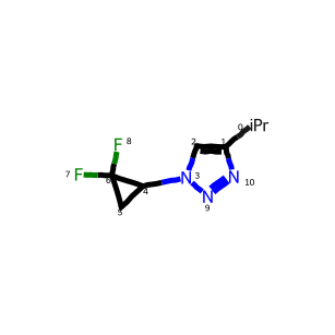 CC(C)c1cn(C2CC2(F)F)nn1